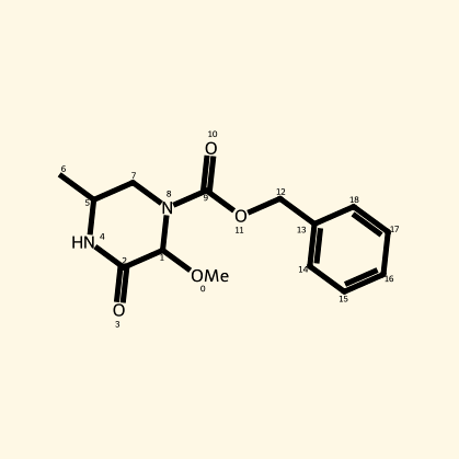 COC1C(=O)NC(C)CN1C(=O)OCc1ccccc1